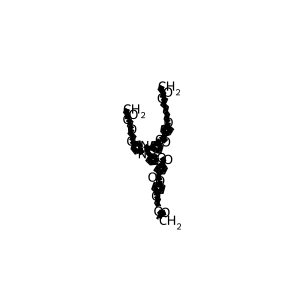 C=CC(=O)OCCCCCCOc1ccc(C(=O)Oc2cccc(-c3nc4cc(OCCOCCOC(=O)C=C)ccc4nc3-c3cccc(OC(=O)c4ccc(C(=O)Oc5ccc(OCCCOC(=O)C=C)cc5)cc4)c3)c2)cc1